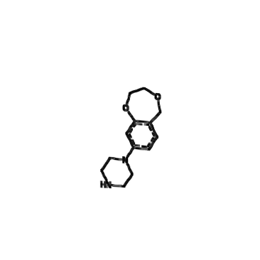 c1cc2c(cc1N1CCNCC1)OCCOC2